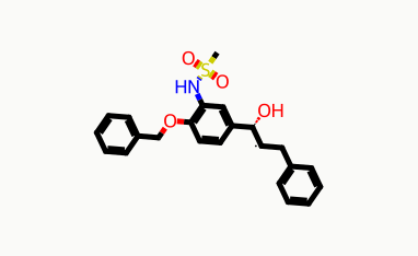 CS(=O)(=O)Nc1cc([C@H](O)[CH]Cc2ccccc2)ccc1OCc1ccccc1